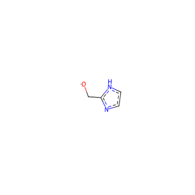 [O]Cc1ncc[nH]1